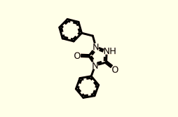 O=c1[nH]n(Cc2ccccc2)c(=O)n1-c1ccccc1